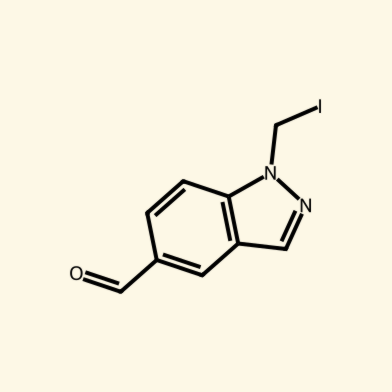 O=Cc1ccc2c(cnn2CI)c1